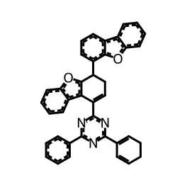 C1=CC(c2nc(C3=CCC(c4cccc5c4oc4ccccc45)c4oc5ccccc5c43)nc(-c3ccccc3)n2)=CCC1